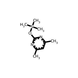 Cc1cc(C)nc(O[Si](C)(C)C)n1